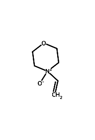 C=C[N+]1([O-])CCOCC1